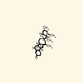 CC1=C2C[C@H]3[C@@H](CCC4=CC(=O)CC[C@@]43C)[C@@H]2CC[C@@]2(C1)O[C@@H]1C[C@H](C)CN(C)[C@H]1[C@H]2C